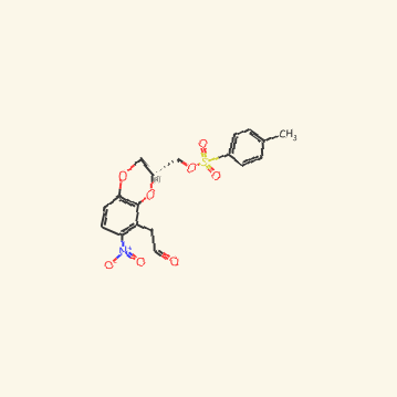 Cc1ccc(S(=O)(=O)OC[C@H]2COc3ccc([N+](=O)[O-])c(CC=O)c3O2)cc1